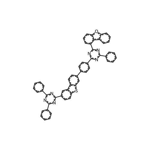 c1ccc(-c2nc(-c3ccccc3)nc(-c3ccc4sc5cc(-c6ccc(-c7nc(-c8ccccc8)nc(-c8cccc9oc%10ccccc%10c89)n7)cc6)ccc5c4c3)n2)cc1